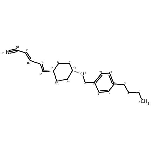 CCCCc1ccc(CO[C@H]2CC[C@H](/C=C/C=C/C#N)CC2)cc1